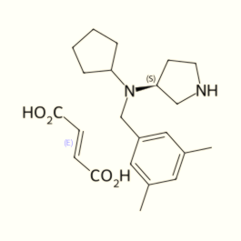 Cc1cc(C)cc(CN(C2CCCC2)[C@H]2CCNC2)c1.O=C(O)/C=C/C(=O)O